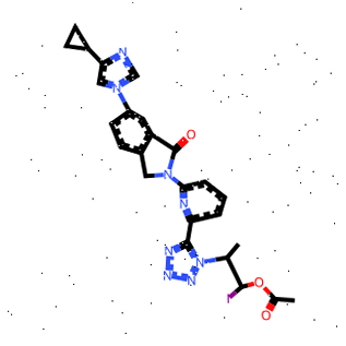 CC(=O)OC(I)C(C)n1nnnc1-c1cccc(N2Cc3ccc(-n4cnc(C5CC5)c4)cc3C2=O)n1